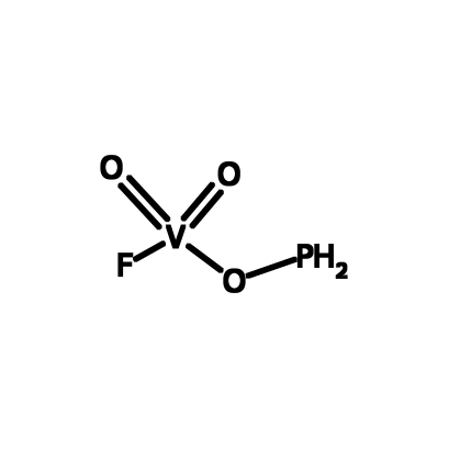 [O]=[V](=[O])([F])[O]P